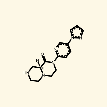 O=C1[C@H]2CNCCN2CCN1c1ccc(-n2cccn2)cn1